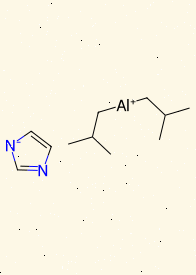 CC(C)[CH2][Al+][CH2]C(C)C.c1c[n-]cn1